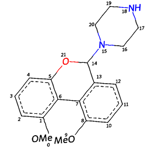 COc1cccc2c1-c1c(OC)cccc1C(N1CCNCC1)O2